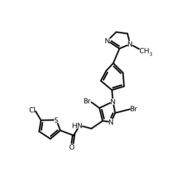 CN1CCN=C1c1ccc(-n2c(Br)nc(CNC(=O)c3ccc(Cl)s3)c2Br)cc1